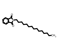 CCCCCCCCCCCCCCCN1C(=O)c2ccccc2C1=O